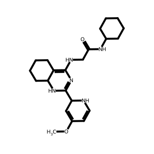 COC1=CC(C2=NC(NCC(=O)NC3CCCCC3)=C3CCCCC3N2)NC=C1